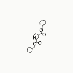 O=C(OCc1ccccc1)c1ccnc(C(=O)OCc2ccccc2)c1